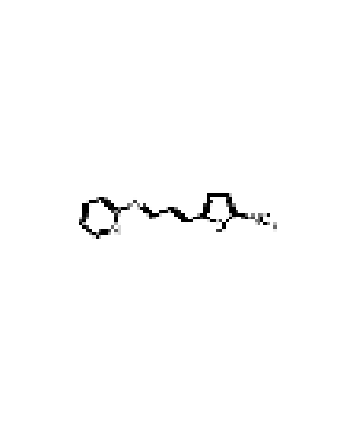 O=[N+]([O-])c1ccc(C=CC=Nc2ccccn2)o1